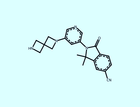 CC1(C)c2cc(C#N)ccc2C(=O)N1c1cncc(N2CC3(CNC3)C2)c1